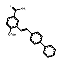 COc1ccc(C(N)=O)cc1/C=C/c1ccc(-c2ccccc2)cc1